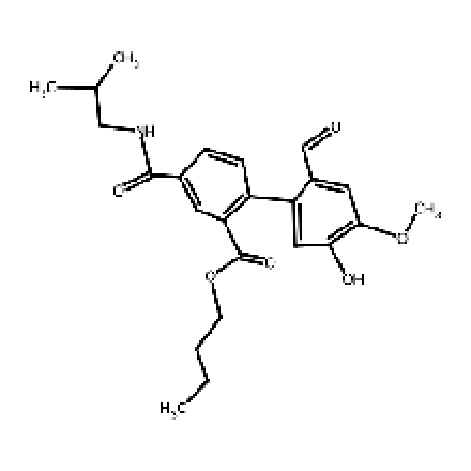 CCCCOC(=O)c1cc(C(=O)NCC(C)C)ccc1-c1cc(O)c(OC)cc1C=O